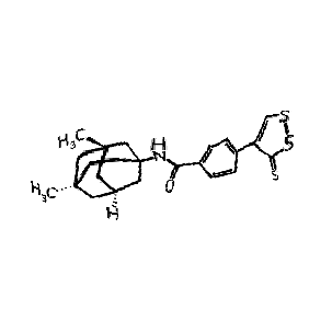 C[C@]12C[C@H]3CC(NC(=O)c4ccc(-c5cssc5=S)cc4)(C1)C[C@@](C)(C3)C2